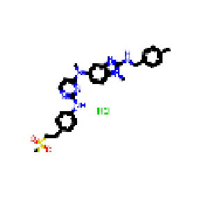 Cc1ccc(CNc2nc3cc(N(C)c4ccnc(Nc5ccc(CCS(C)(=O)=O)cc5)n4)ccc3n2C)cc1.Cl